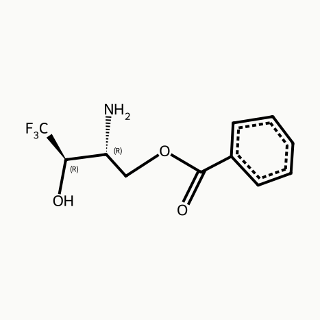 N[C@H](COC(=O)c1ccccc1)[C@@H](O)C(F)(F)F